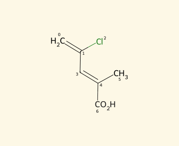 C=C(Cl)C=C(C)C(=O)O